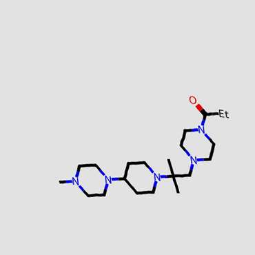 CCC(=O)N1CCN(CC(C)(C)N2CCC(N3CCN(C)CC3)CC2)CC1